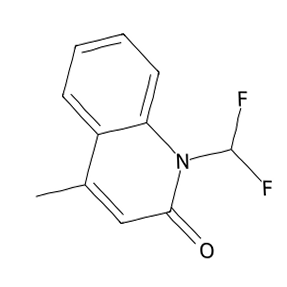 Cc1cc(=O)n(C(F)F)c2ccccc12